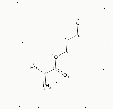 C=C(O)C(=O)OCCCO